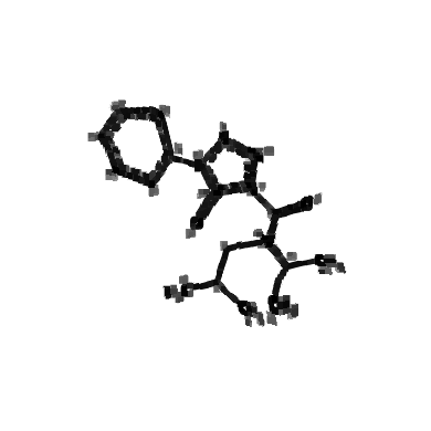 CC(C)CN(C(=O)n1nnn(-c2ccccc2)c1=O)C(C)C